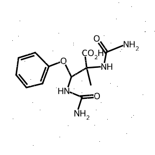 CC(NC(N)=O)(C(=O)O)C(NC(N)=O)Oc1ccccc1